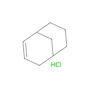 C1=CC2CCCC(C1)C2.Cl